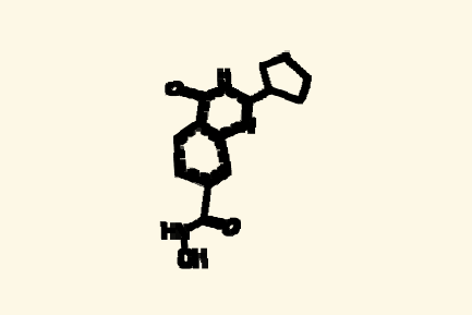 O=C(NO)c1ccc2c(=O)[nH]c(C3CCCC3)nc2c1